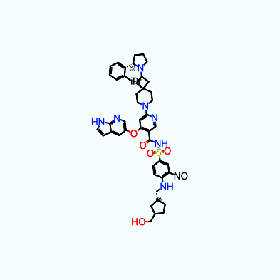 CC(C)c1ccccc1[C@@H]1CCCN1C1CC2(CCN(c3cc(Oc4cnc5[nH]ccc5c4)c(C(=O)NS(=O)(=O)c4ccc(NC[C@@H]5CCC(CO)C5)c(N=O)c4)cn3)CC2)C1